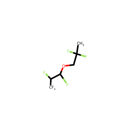 CC(F)(F)COC(F)C(F)C(F)(F)F